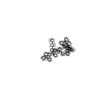 c1ccc(-c2ccc(-c3ccc(N(c4cccc(-c5ccccc5-n5c6ccccc6c6ccccc65)c4)c4ccccc4-c4cccc5c4oc4c(-c6cccc(-c7cccc(-c8cccc(N(c9cccc(-c%10ccccc%10-n%10c%11ccccc%11c%11ccccc%11%10)c9)c9ccccc9-c9cccc%10c9oc9ccccc9%10)c8)c7)c6)cccc45)cc3)cc2)cc1